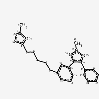 Cc1nnc(CCCCCc2cccc(-c3nn(C)nc3-c3ccccc3)c2)o1